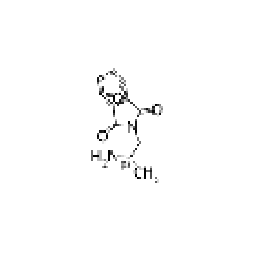 C[C@H](N)CN1C(=O)c2c(c3ccc2o3)C1=O